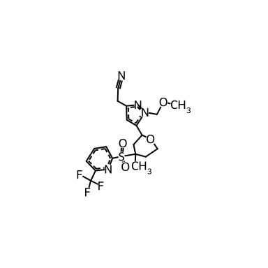 COCn1nc(CC#N)cc1C1CC(C)(S(=O)(=O)c2cccc(C(F)(F)F)n2)CCO1